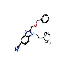 CC(C)CCn1c(COCc2ccccc2)nc2cc(C#N)ccc21